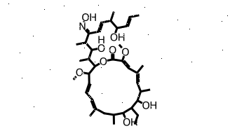 C/C=C/C(O)C(C)/C=C/C(=N\O)C(C)C(O)C(C)C1OC(=O)/C(OC)=C/C(C)=C/C(C)C(O)C(CC)C(O)C(C)C/C(C)=C/C=C/C1OC